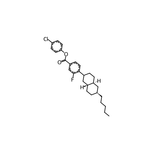 CCCCC[C@H]1CC[C@@H]2CC(c3ccc(C(=O)Oc4ccc(Cl)cc4)cc3F)CC[C@H]2C1